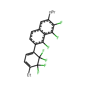 CCCc1cc2ccc(C3=CC=C(CC)C(F)(F)C3(F)F)c(F)c2c(F)c1F